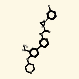 CNc1cc(-c2ccnc(NC(=O)[C@H]3C[C@@H]3c3cccc(F)c3)c2)ccc1OC1CCOCC1